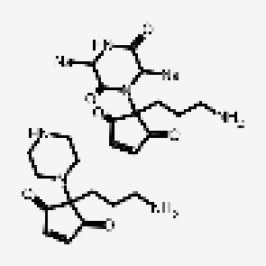 NCCCC1(N2C(=O)[CH]([Na])NC(=O)[CH]2[Na])C(=O)C=CC1=O.NCCCC1(N2CCNCC2)C(=O)C=CC1=O